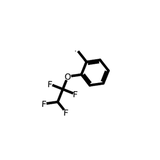 [CH2]c1ccccc1OC(F)(F)C(F)F